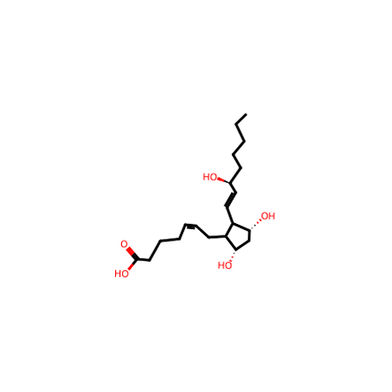 CCCCC[C@H](O)/C=C/C1C(C/C=C\CCCC(=O)O)[C@@H](O)C[C@H]1O